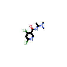 C/C(=N\C(=O)c1cnc(Cl)cc1Cl)N(C)C